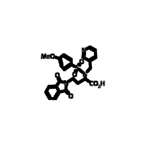 COc1ccc(S(=O)(=O)N(Cc2cccnc2)C(CCN2C(=O)c3ccccc3C2=O)C(=O)O)cc1